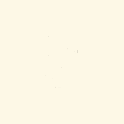 C=C(CC)C(=O)OS(C)=O